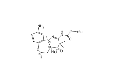 C[C@@H]1C[C@H]2[C@](C)(N=C(NC(=O)OC(C)(C)C)C(C)(C)S2(=O)=O)c2cc(N)ccc2O1